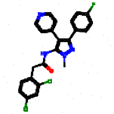 Cn1nc(-c2ccc(F)cc2)c(-c2ccncc2)c1NC(=O)Cc1ccc(Cl)cc1Cl